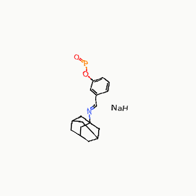 O=POc1cccc(C=NC23CC4CC(CC(C4)C2)C3)c1.[NaH]